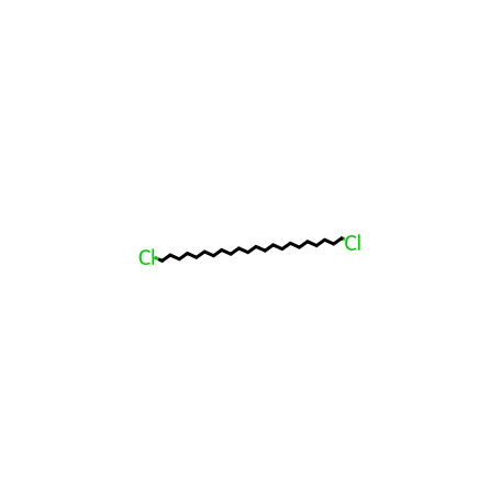 ClCCCCCCCCCCCCCCCCCCCCCCCl